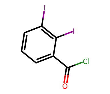 O=C(Cl)c1cccc(I)c1I